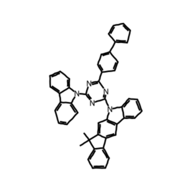 CC1(C)c2ccccc2-c2cc3c4ccccc4n(-c4nc(-c5ccc(-c6ccccc6)cc5)nc(-n5c6ccccc6c6ccccc65)n4)c3cc21